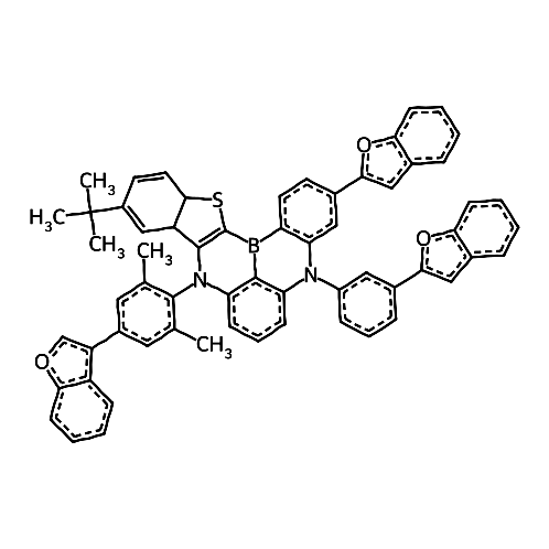 Cc1cc(-c2coc3ccccc23)cc(C)c1N1C2=C(SC3C=CC(C(C)(C)C)=CC23)B2c3ccc(-c4cc5ccccc5o4)cc3N(c3cccc(-c4cc5ccccc5o4)c3)c3cccc1c32